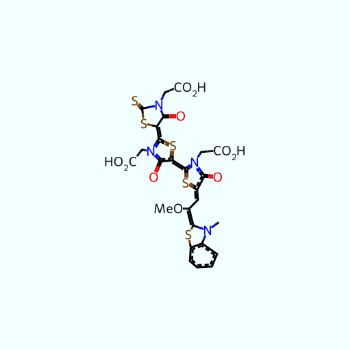 CO/C(C=c1s/c(=c2/s/c(=C3/SC(=S)N(CC(=O)O)C3=O)n(CC(=O)O)c2=O)n(CC(=O)O)c1=O)=C1\Sc2ccccc2N1C